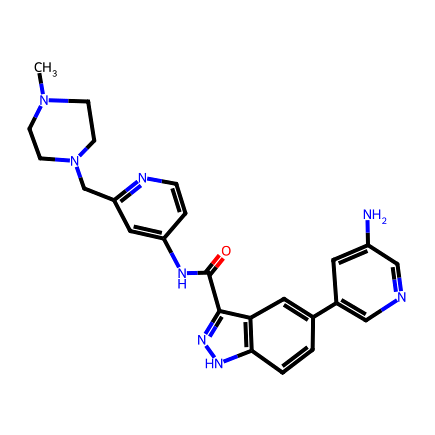 CN1CCN(Cc2cc(NC(=O)c3n[nH]c4ccc(-c5cncc(N)c5)cc34)ccn2)CC1